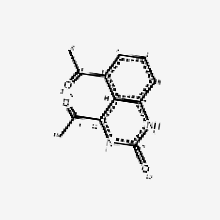 CC(=O)c1cccc2[nH]c(=O)nc(C(C)=O)c12